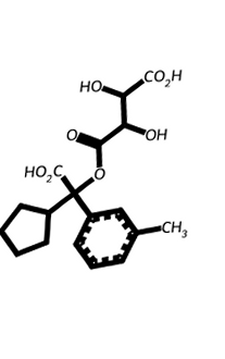 Cc1cccc(C(OC(=O)C(O)C(O)C(=O)O)(C(=O)O)C2CCCC2)c1